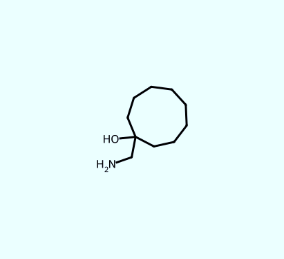 NCC1(O)CCCCCCCC1